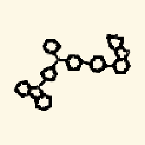 c1ccc(N(c2ccc(-c3ccc(-c4cccc5oc6ccccc6c45)cc3)cc2)c2ccc(-n3c4ccccc4c4ccccc43)cc2)cc1